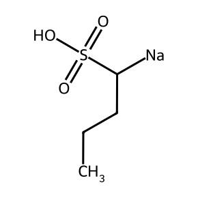 CCC[CH]([Na])S(=O)(=O)O